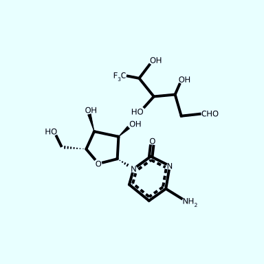 Nc1ccn([C@@H]2O[C@H](CO)[C@@H](O)[C@H]2O)c(=O)n1.O=CCC(O)C(O)C(O)C(F)(F)F